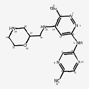 CC(C)(C)c1nnc(Nc2cnc(C#N)cn2)cc1NCC1CNCCO1